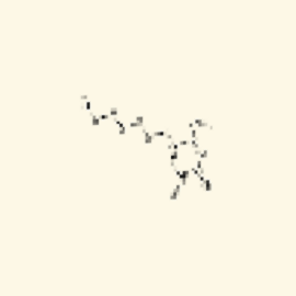 O=[N+]([O-])c1cc(Br)c(F)cc1C[CH]CCCCO